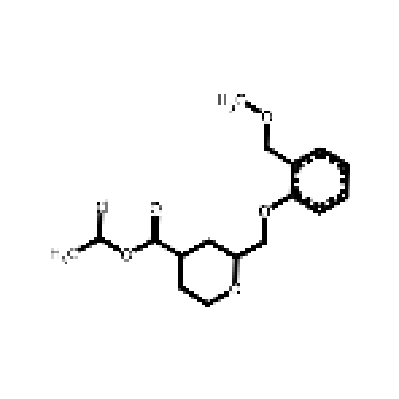 COCc1ccccc1OCC1CC(C(=O)OC(C)Cl)CCO1